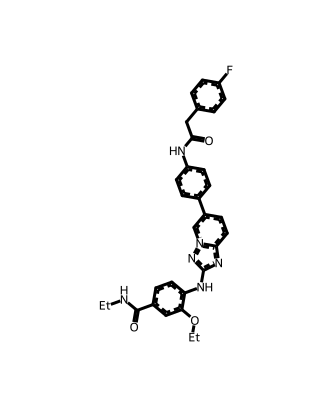 CCNC(=O)c1ccc(Nc2nc3ccc(-c4ccc(NC(=O)Cc5ccc(F)cc5)cc4)cn3n2)c(OCC)c1